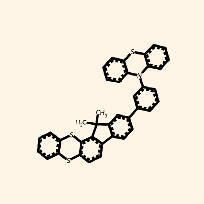 CC1(C)c2cc(-c3cccc(N4c5ccccc5Sc5ccccc54)c3)ccc2-c2ccc3c(c21)Sc1ccccc1S3